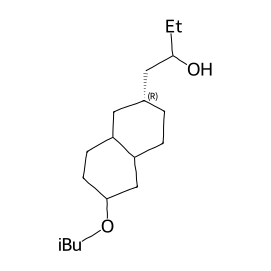 CCC(O)C[C@@H]1CCC2CC(OC(C)CC)CCC2C1